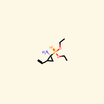 C=CC1C[C@]1(N)P(=P)(OCC)OCC